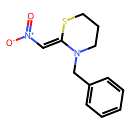 O=[N+]([O-])/C=C1\SCCCN1Cc1ccccc1